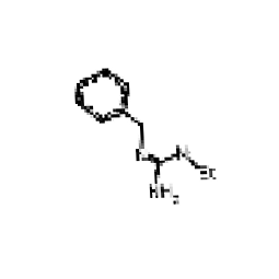 CC[N]C(N)=NCc1ccccc1